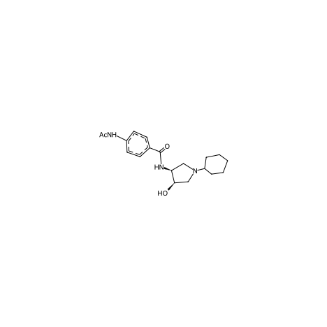 CC(=O)Nc1ccc(C(=O)N[C@H]2CN(C3CCCCC3)C[C@H]2O)cc1